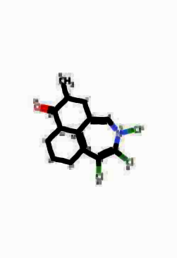 CC1CC2=CN(Cl)C(Cl)=C(Cl)C3=C2C(CCC3)C1=O